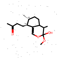 COC1(O)OC=C2C(CC[C@@H](C)[C@@H]2CCC(C)=O)C1C